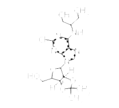 CCC(CC)Nc1nc(Cl)nc2c1ncn2C1OC(CO)[C@H]2OC(C)(C)O[C@@H]12